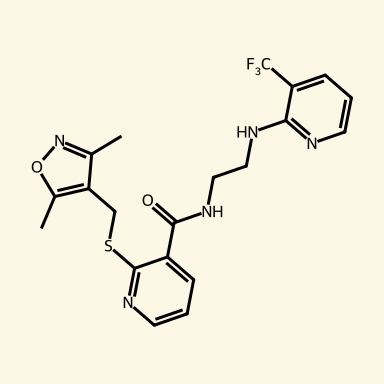 Cc1noc(C)c1CSc1ncccc1C(=O)NCCNc1ncccc1C(F)(F)F